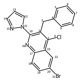 Clc1c(Cc2ccccc2)c(-n2cccn2)nc2ccc(Br)cc12